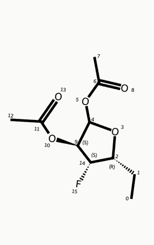 CC[C@H]1OC(OC(C)=O)[C@H](OC(C)=O)[C@H]1F